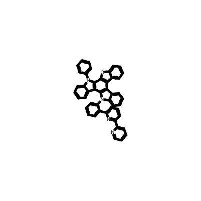 c1ccc(-n2c3ccccc3c3c2c2oc4ccccc4c2c2c4ccccc4n(-c4ccccc4-c4cccc(-c5ccccn5)n4)c23)cc1